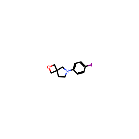 Ic1ccc(N2CCC3(COC3)C2)cc1